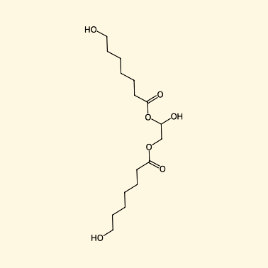 O=C(CCCCCCO)OCC(O)OC(=O)CCCCCCO